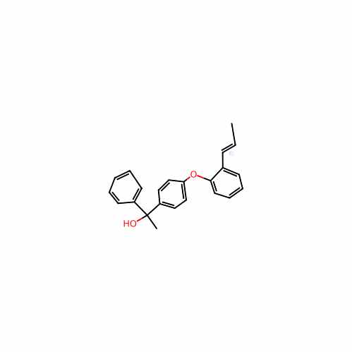 C/C=C/c1ccccc1Oc1ccc(C(C)(O)c2ccccc2)cc1